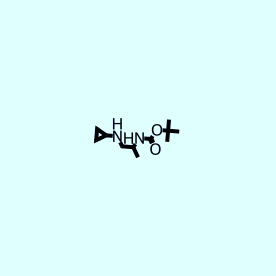 CC(CNC1CC1)NC(=O)OC(C)(C)C